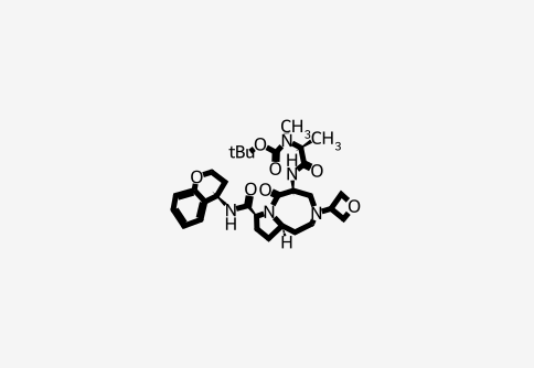 C[C@@H](C(=O)N[C@H]1CN(C2COC2)CC[C@H]2CC[C@@H](C(=O)N[C@@H]3CCOc4ccccc43)N2C1=O)N(C)C(=O)OC(C)(C)C